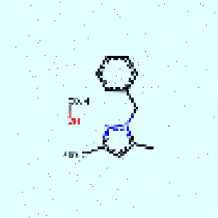 CCOC(=O)c1cc(C)n(Cc2ccccc2)n1.O=C(O)O